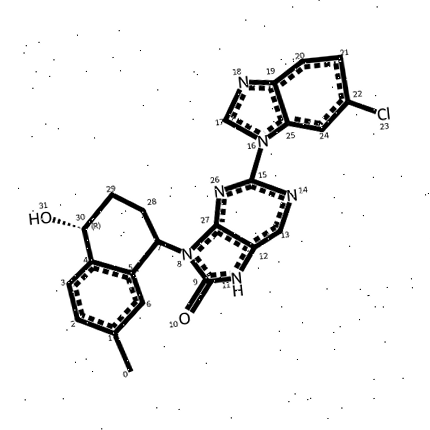 Cc1ccc2c(c1)C(n1c(=O)[nH]c3cnc(-n4cnc5ccc(Cl)cc54)nc31)CC[C@H]2O